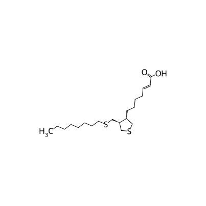 CCCCCCCCSC[C@@H]1CSC[C@@H]1CCCCC=CC(=O)O